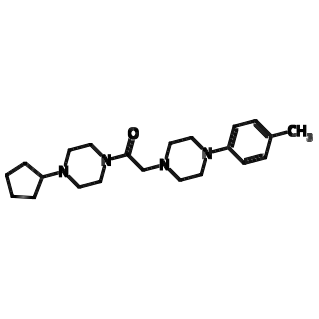 Cc1ccc(N2CCN(CC(=O)N3CCN(C4CCCC4)CC3)CC2)cc1